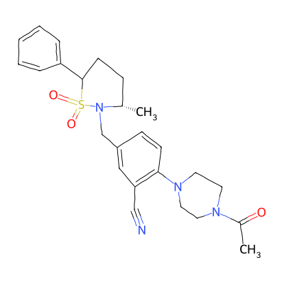 CC(=O)N1CCN(c2ccc(CN3[C@@H](C)CCC(c4ccccc4)S3(=O)=O)cc2C#N)CC1